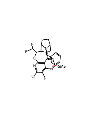 CSc1nc2c3c(nc(Cl)c(F)c3n1)OC(C(F)F)C1C3CCC(CN21)N3Cc1ccccc1